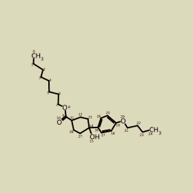 CCCCCCCCOC(=O)C1CCC(O)(c2ccc(OCCCC)cc2)CC1